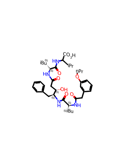 CCCOc1cccc(CC(=O)N[C@H](C(=O)N[C@@H](Cc2ccccc2)[C@@H](O)CC(=O)N[C@H](C(=O)NC(C(=O)O)C(C)C)[C@@H](C)CC)[C@@H](C)CC)c1